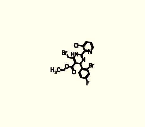 CCOC(=O)C1=C(CBr)NC(c2ncccc2Cl)=NC1c1ccc(F)cc1Br